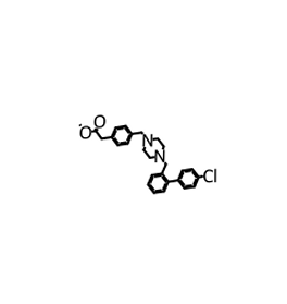 COC(=O)Cc1ccc(CN2CCN(Cc3ccccc3-c3ccc(Cl)cc3)CC2)cc1